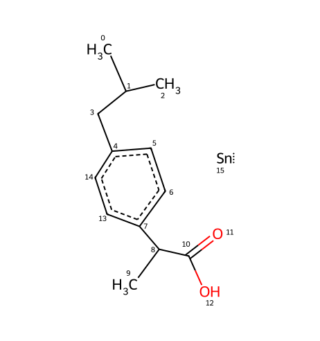 CC(C)Cc1ccc(C(C)C(=O)O)cc1.[Sn]